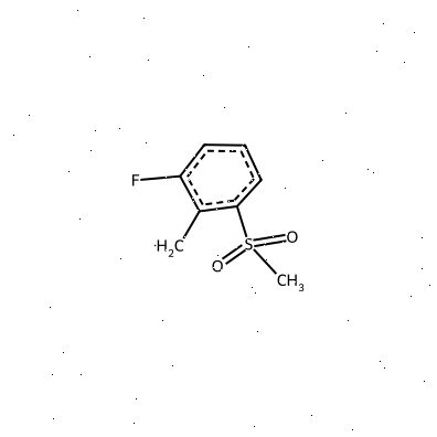 [CH2]c1c(F)cccc1S(C)(=O)=O